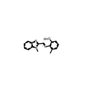 COc1cccc(C)c1/N=C/c1nc2ccccc2n1C